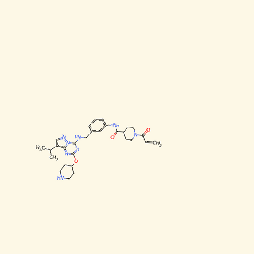 C=CC(=O)N1CCC(C(=O)Nc2cccc(CNc3nc(OC4CCNCC4)nc4c(C(C)C)cnn34)c2)CC1